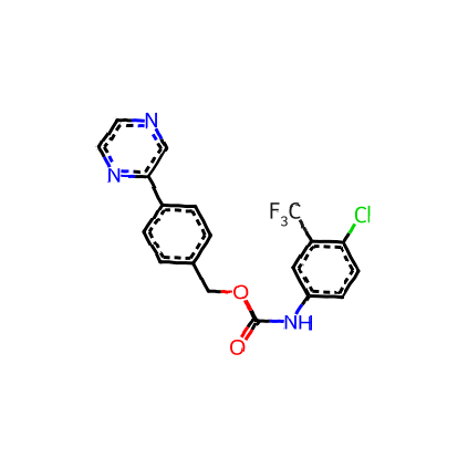 O=C(Nc1ccc(Cl)c(C(F)(F)F)c1)OCc1ccc(-c2cnccn2)cc1